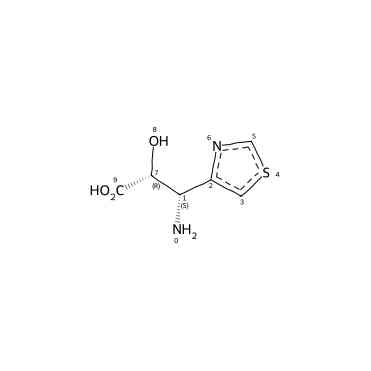 N[C@@H](c1cscn1)[C@@H](O)C(=O)O